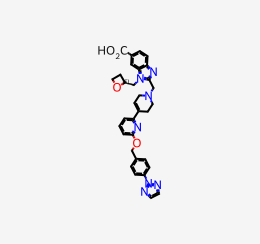 O=C(O)c1ccc2nc(CN3CC=C(c4cccc(OCc5ccc(-n6nccn6)cc5)n4)CC3)n(C[C@@H]3CCO3)c2c1